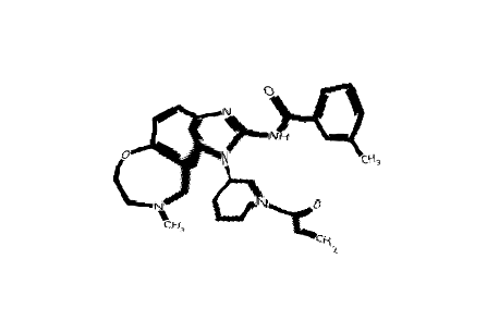 C=CC(=O)N1CCC[C@@H](n2c(NC(=O)c3cccc(C)c3)nc3ccc4c(c32)CN(C)CCO4)C1